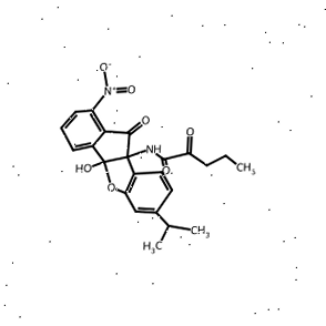 CCCC(=O)C(=O)NC12C(=O)c3c([N+](=O)[O-])cccc3C1(O)Oc1cc(C(C)C)ccc12